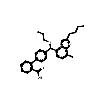 CCCCc1cn2c(C(OCCC)c3ccc(-c4ccccc4C(=O)O)cc3)ccc(C)c2n1